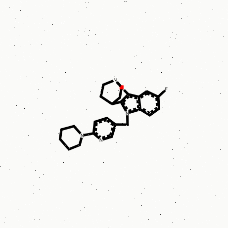 Fc1ccc2c(c1)c1c(n2Cc2ccc(N3CCCCC3)nc2)C2CCN(CC2)C1